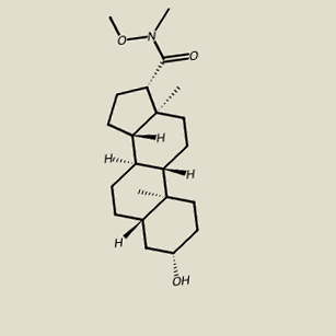 CON(C)C(=O)[C@H]1CC[C@H]2[C@@H]3CC[C@H]4C[C@@H](O)CC[C@]4(C)[C@H]3CC[C@]12C